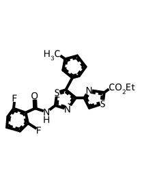 CCOC(=O)c1nc(-c2nc(NC(=O)c3c(F)cccc3F)sc2-c2cccc(C)c2)cs1